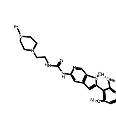 CCN1CCN(CCNC(=O)Nc2cc3cc(-c4c(OC)ccnc4OC)n(C)c3cn2)CC1